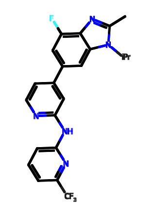 Cc1nc2c(F)cc(-c3ccnc(Nc4cccc(C(F)(F)F)n4)c3)cc2n1C(C)C